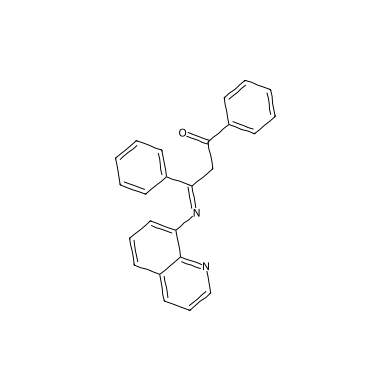 O=C(CC(=Nc1cccc2cccnc12)c1ccccc1)c1ccccc1